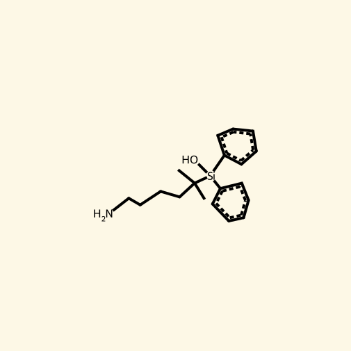 CC(C)(CCCCN)[Si](O)(c1ccccc1)c1ccccc1